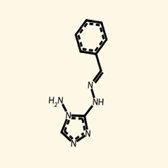 Nn1cnnc1N/N=C/c1ccccc1